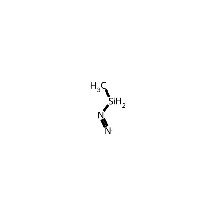 C[SiH2]N=[N]